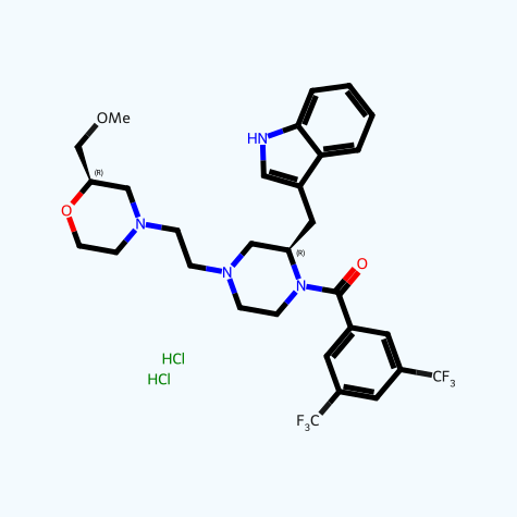 COC[C@H]1CN(CCN2CCN(C(=O)c3cc(C(F)(F)F)cc(C(F)(F)F)c3)[C@H](Cc3c[nH]c4ccccc34)C2)CCO1.Cl.Cl